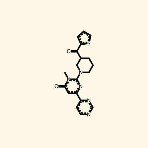 Cn1c(N2CCCC(C(=O)c3cccs3)C2)nc(-c2ccncn2)cc1=O